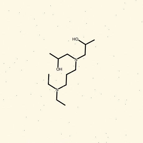 CCN(CC)CCCN(CC(C)O)CC(C)O